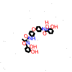 CC1OC(c2cccc(O)c2O)=N[C@@H]1C(=O)Nc1ccc(Oc2ccc(NC(=O)c3cccc(O)c3O)cc2)cc1